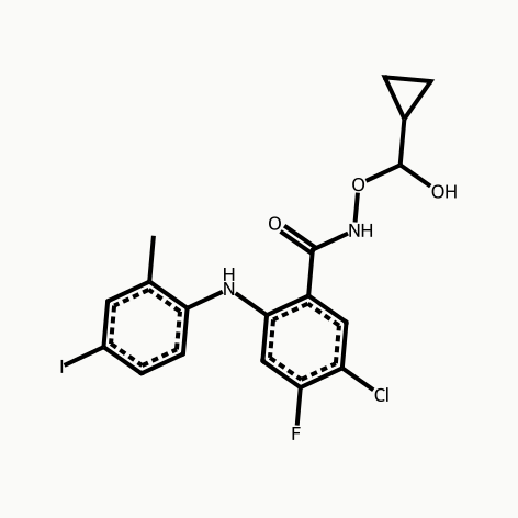 Cc1cc(I)ccc1Nc1cc(F)c(Cl)cc1C(=O)NOC(O)C1CC1